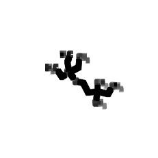 CCC(C)(C)CCO[Si](CC)(CC)CC